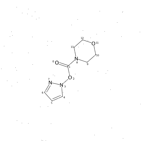 O=C(On1cccn1)N1CCOCC1